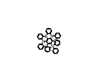 c1ccc([Si](c2ccccc2)(c2ccccc2)c2c3oc4ccccc4n4c3c3c5c2oc2ccccc2n5-c2ccccc2B3c2ccccc2-4)cc1